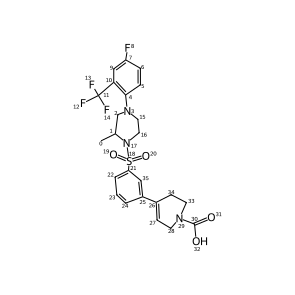 CC1CN(c2ccc(F)cc2C(F)(F)F)CCN1S(=O)(=O)c1cccc(C2=CCN(C(=O)O)CC2)c1